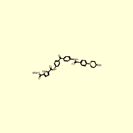 COC(=O)c1ccc(C(=O)Nc2ccc(C(=O)c3ccc(NC(=O)c4ccc(N5CCC(O)CC5)cc4)cc3)cc2)[nH]1